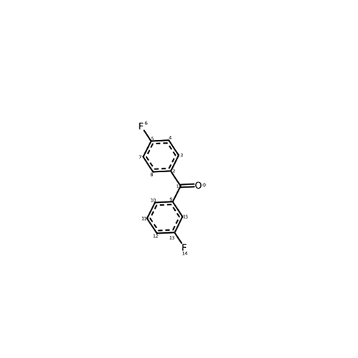 O=C(c1ccc(F)cc1)c1cccc(F)c1